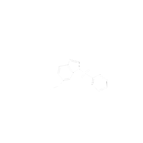 COc1ccc2ncn(S(=O)(=O)c3cccnc3)c2c1